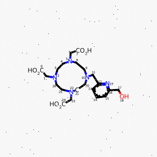 O=C(O)CN1CCN(CC(=O)O)CCN(Cc2cccc(CO)n2)CCN(CC(=O)O)CC1